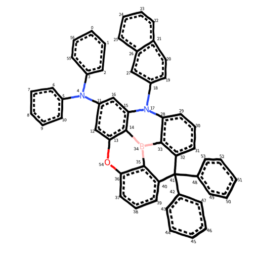 c1ccc(N(c2ccccc2)c2cc3c4c(c2)N(c2ccc5ccccc5c2)c2cccc5c2B4c2c(cccc2C5(c2ccccc2)c2ccccc2)O3)cc1